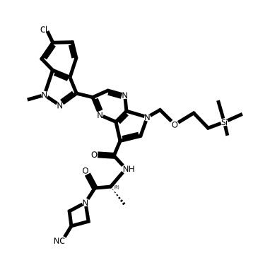 C[C@@H](NC(=O)c1cn(COCC[Si](C)(C)C)c2ncc(-c3nn(C)c4cc(Cl)ccc34)nc12)C(=O)N1CC(C#N)C1